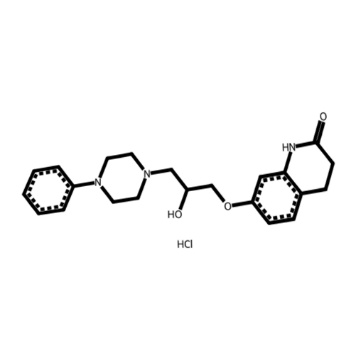 Cl.O=C1CCc2ccc(OCC(O)CN3CCN(c4ccccc4)CC3)cc2N1